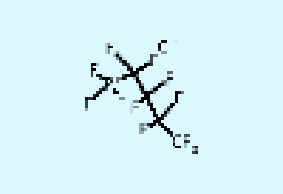 FC(F)(F)C(F)(F)C(F)(F)C(F)(F)[P+](F)(F)F.[Cl-]